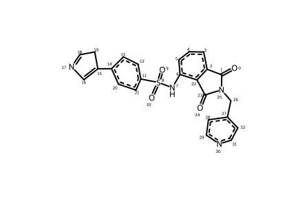 O=C1c2cccc(NS(=O)(=O)c3ccc(C4=CN=CC4)cc3)c2C(=O)N1Cc1ccncc1